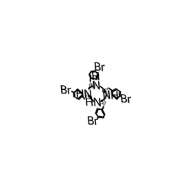 Brc1ccc(C[C@H]2CN[C@@H](Cc3ccc(Br)cc3)CN[C@@H](Cc3ccc(Br)cc3)CN[C@@H](Cc3ccc(Br)cc3)CN2)cc1